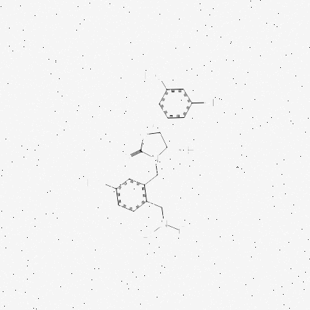 CCN(Cc1ccc(C(F)(F)F)cc1CN1C(=O)O[C@H](c2cc(C(F)(F)F)cc(C(F)(F)F)c2)[C@@H]1C)C(C)C